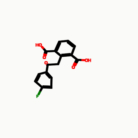 O=C(Cc1c(C(=O)O)cccc1C(=O)O)c1ccc(F)cc1